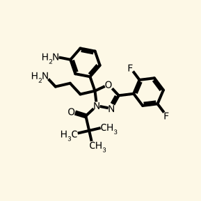 CC(C)(C)C(=O)N1N=C(c2cc(F)ccc2F)OC1(CCCN)c1cccc(N)c1